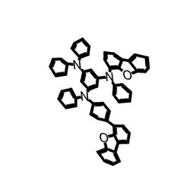 c1ccc(N(c2ccccc2)c2cc(N(c3ccccc3)c3ccc(-c4cccc5c4oc4ccccc45)cc3)cc(N(c3ccccc3)c3cccc4c3oc3ccccc34)c2)cc1